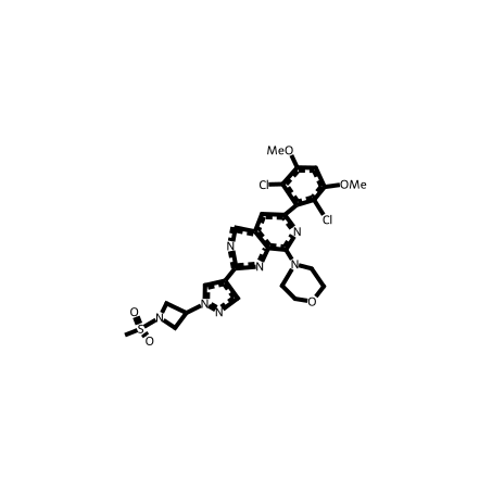 COc1cc(OC)c(Cl)c(-c2cc3cnc(-c4cnn(C5CN(S(C)(=O)=O)C5)c4)nc3c(N3CCOCC3)n2)c1Cl